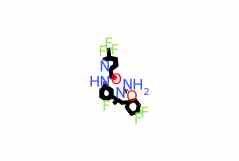 CC1(c2cc(NC(=O)c3ccc(C(F)(F)F)cn3)ccc2F)CC2(CCC(F)(F)CC2)OC(N)=N1